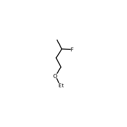 CCOCCC(C)F